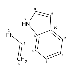 C=CCC.c1ccc2[nH]ccc2c1